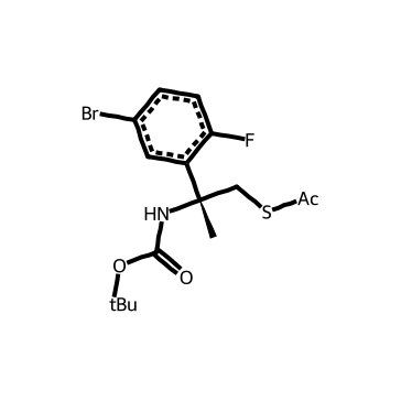 CC(=O)SC[C@](C)(NC(=O)OC(C)(C)C)c1cc(Br)ccc1F